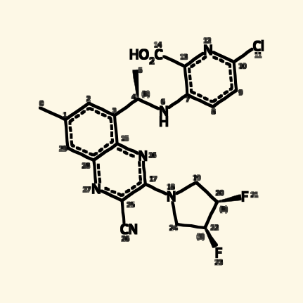 Cc1cc([C@@H](C)Nc2ccc(Cl)nc2C(=O)O)c2nc(N3C[C@@H](F)[C@@H](F)C3)c(C#N)nc2c1